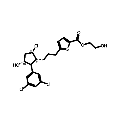 O=C(OCCO)c1ccc(CCC[C@@H]2C(c3cc(Cl)cc(Cl)c3)[C@H](O)C[C@H]2Cl)s1